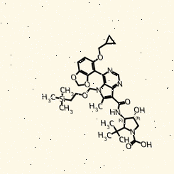 Cc1c(C(=O)N[C@@H]2C(C(C)(C)C)N(C(=O)O)C[C@H]2O)c2ncnc(-c3c(OCC4CC4)ccc4c3OCO4)c2n1COCC[Si](C)(C)C